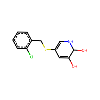 OC1=CC(SCc2ccccc2Cl)=CNC1O